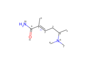 C/C(=C\CC(C)N(C)C)C(N)=O